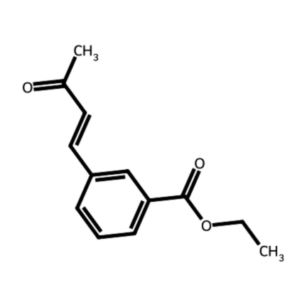 CCOC(=O)c1cccc(C=CC(C)=O)c1